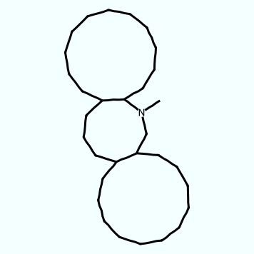 CN1CC2CCCCCCCCCCCC2CCCC2CCCCCCCCCCCC21